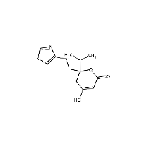 CC(C)C1(CCc2cscn2)CC(O)=CC(=O)O1